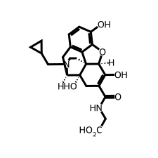 O=C(O)CNC(=O)C1=C(O)[C@@H]2Oc3c(O)ccc4c3[C@@]23CCN(CC2CC2)[C@H](C4)[C@]3(O)C1